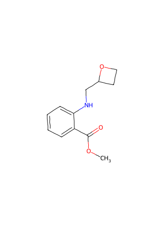 COC(=O)c1ccccc1NCC1CCO1